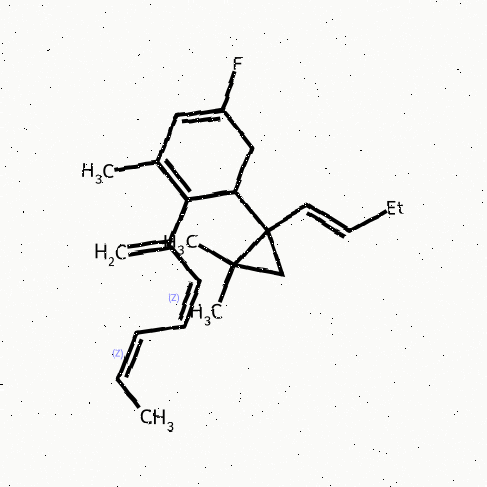 C=C(/C=C\C=C/C)C1=C(C)C=C(F)CC1C1(C=CCC)CC1(C)C